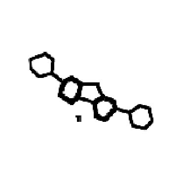 [CH]1c2cc(C3CCCCC3)ccc2-c2ccc(C3CCCCC3)cc21.[Ti]